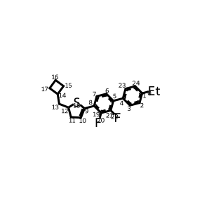 CCc1ccc(-c2ccc(C3=CCC(CC4CCC4)S3)c(F)c2F)cc1